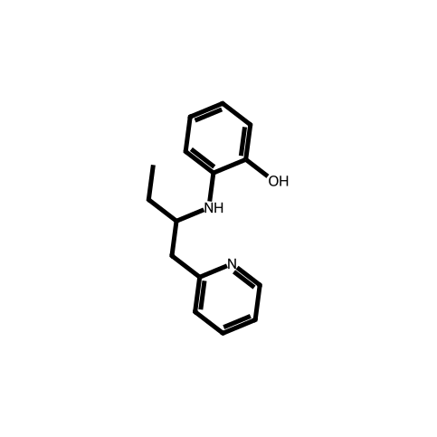 CCC(Cc1ccccn1)Nc1ccccc1O